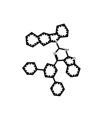 c1ccc(-c2cc(C3=NC(n4c5ccccc5c5cc6ccccc6cc54)Nc4oc5ccccc5c43)cc(-c3ccccc3)c2)cc1